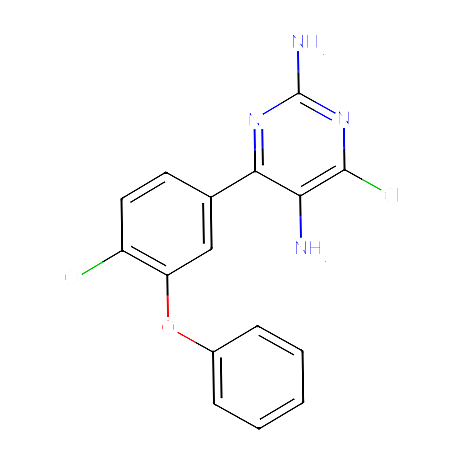 Nc1nc(Cl)c(N)c(-c2ccc(Cl)c(Oc3ccccc3)c2)n1